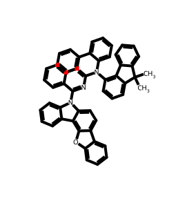 CC1(C)c2ccccc2-c2c(N(c3nc(-n4c5ccccc5c5c6oc7ccccc7c6ccc54)c4ccccc4n3)c3ccccc3-c3ccccc3)cccc21